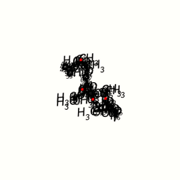 COc1cc2c(cc1OCCCOc1cc3c(cc1OC)C(=O)N1C=C(c4ccc(NC(=O)C(C)NC(=O)[C@@H](NC(=O)OCC5c6ccccc6-c6ccccc65)C(C)C)cc4)C[C@H]1C(=O)N3COCC[Si](C)(C)C)N(COCC[Si](C)(C)C)C(=O)[C@@H]1CC(OS(=O)(=O)C(F)(F)F)=CN1C2=O